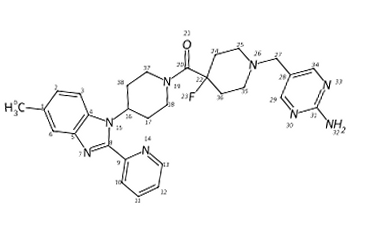 Cc1ccc2c(c1)nc(-c1ccccn1)n2C1CCN(C(=O)C2(F)CCN(Cc3cnc(N)nc3)CC2)CC1